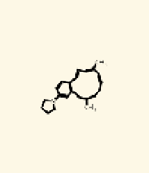 CC1=C\C=C\c2ccc(N3CCCC3)cc2CC(C)CC/C=C\1